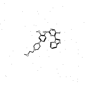 COCCN1CCN(c2ccc(Nc3ncc(F)c(-c4cnc5ccccn45)n3)c(OC)c2)CC1